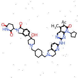 CC(=O)c1c(C)c2cnc(Nc3ccc4c(n3)CCN(CC3CCC(CN5CCC(O)(c6ccc7c(c6)CN(C6CCC(=O)NC6=O)C7=O)CC5)CC3)C4)nc2n(C2CCCC2)c1=O